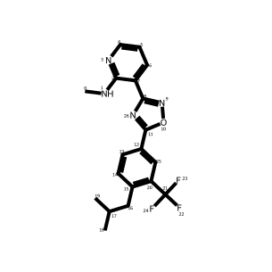 CNc1ncccc1-c1noc(-c2ccc(CC(C)C)c(C(F)(F)F)c2)n1